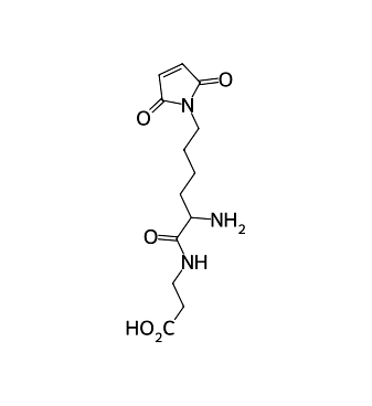 NC(CCCCN1C(=O)C=CC1=O)C(=O)NCCC(=O)O